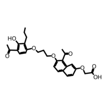 CCCc1c(OCCCOc2ccc3ccc(OCC(=O)O)cc3c2C(C)=O)ccc(C(C)=O)c1O